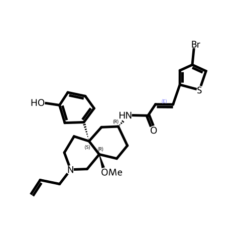 C=CCN1CC[C@@]2(c3cccc(O)c3)C[C@H](NC(=O)/C=C/c3cc(Br)cs3)CC[C@]2(OC)C1